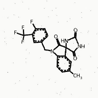 Cc1ccc2c(c1)C1(NC(=O)NC1=O)C(=O)N2Cc1ccc(F)c(C(F)(F)F)c1